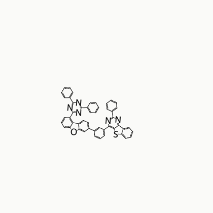 c1ccc(-c2nc(-c3ccccc3)nc(-c3cccc4oc5cc(-c6cccc(-c7nc(-c8ccccc8)nc8c7sc7ccccc78)c6)ccc5c34)n2)cc1